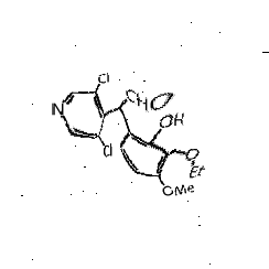 CCOc1c(OC)ccc(C(C=O)c2c(Cl)cncc2Cl)c1O